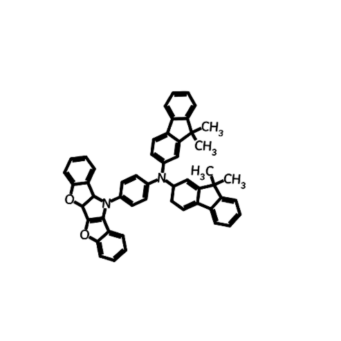 CC1(C)C2=CC(N(c3ccc(N4c5c(oc6ccccc56)C5Oc6ccccc6C54)cc3)c3ccc4c(c3)C(C)(C)c3ccccc3-4)CC=C2c2ccccc21